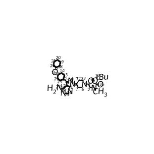 CN(CC(=O)N1CCC(n2nc(-c3ccc(Oc4ccccc4)cc3)c3c(N)ncnc32)CC1)C(=O)OC(C)(C)C